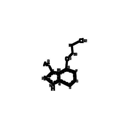 CC(=O)c1n[nH]c2cccc(OCCCl)c12